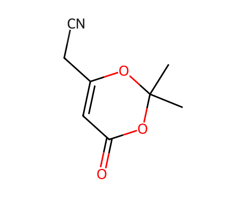 CC1(C)OC(=O)C=C(CC#N)O1